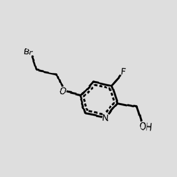 OCc1ncc(OCCBr)cc1F